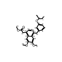 CCC(C)Oc1cccc(Cc2ncc(CC(=O)OC)c3cc(OC)c(OC)cc23)c1